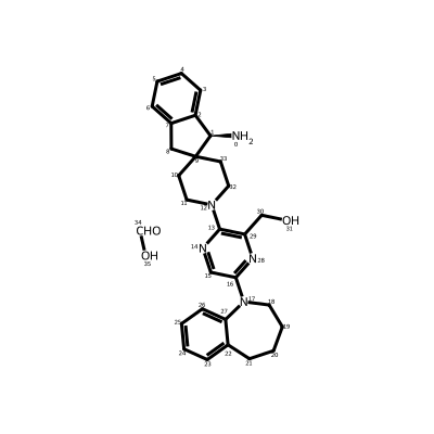 N[C@@H]1c2ccccc2CC12CCN(c1ncc(N3CCCCc4ccccc43)nc1CO)CC2.O=CO